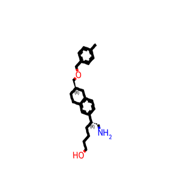 Cc1ccc(COC[C@@H]2CCc3cc([C@H](CN)CCCCO)ccc3C2)cc1